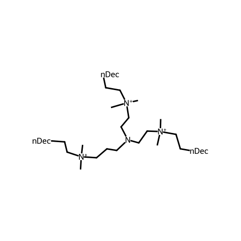 CCCCCCCCCCCC[N+](C)(C)CCCN(CC[N+](C)(C)CCCCCCCCCCCC)CC[N+](C)(C)CCCCCCCCCCCC